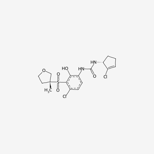 C[C@@]1(S(=O)(=O)c2c(Cl)ccc(NC(=O)N[C@@H]3CCC=C3Cl)c2O)CCOC1